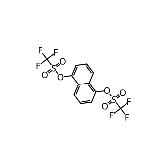 O=S(=O)(Oc1cccc2c(OS(=O)(=O)C(F)(F)F)cccc12)C(F)(F)F